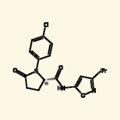 CC(C)c1cc(NC(=O)[C@@H]2CCC(=O)N2c2ccc(Cl)cc2)on1